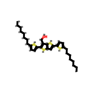 CCCCCCCCc1ccc(-c2cc3sc(-c4ccc(CCCCCCCC)s4)c(CO)c3s2)s1